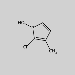 Cc1ccp(O)c1Cl